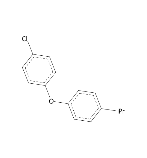 [CH2]C(C)c1ccc(Oc2ccc(Cl)cc2)cc1